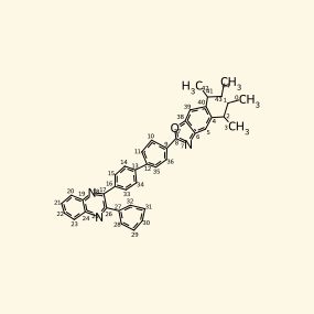 CCC(C)c1cc2nc(-c3ccc(-c4ccc(-c5nc6ccccc6nc5-c5ccccc5)cc4)cc3)oc2cc1C(C)CC